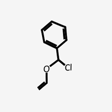 C=COC(Cl)c1ccccc1